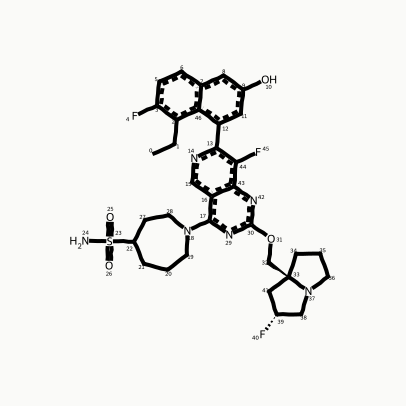 CCc1c(F)ccc2cc(O)cc(-c3ncc4c(N5CCCC(S(N)(=O)=O)CC5)nc(OC[C@@]56CCCN5C[C@H](F)C6)nc4c3F)c12